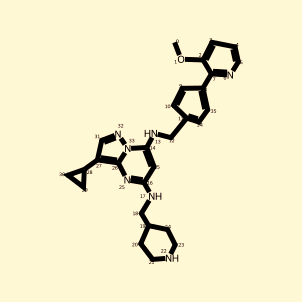 COc1cccnc1-c1ccc(CNc2cc(NCC3CCNCC3)nc3c(C4CC4)cnn23)cc1